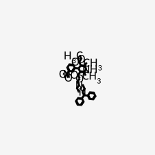 COC(=O)C1=C(C)NC(C)=C(C(=O)OCN2CCN(C(c3ccccc3)c3ccccc3)CC2)C1c1cccc([N+](=O)[O-])c1